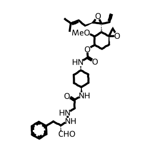 C=C[C@]1(C2C(OC)C(OC(=O)N[C@H]3CC[C@H](NC(=O)CNN[C@H](C=O)Cc4ccccc4)CC3)CC[C@]23CO3)O[C@@H]1CC=C(C)C